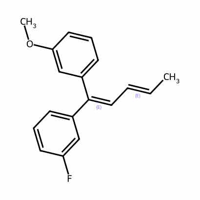 C/C=C/C=C(/c1cccc(F)c1)c1cccc(OC)c1